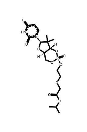 CC(C)OC(=O)COCCO[P@@]1(=O)OC[C@H]2O[C@@H](n3ccc(=O)[nH]c3=O)C(C)(C)[C@@H]2O1